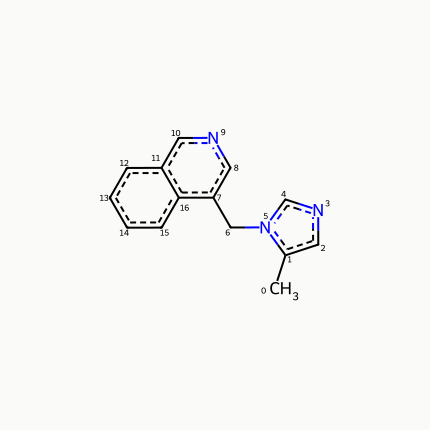 Cc1cncn1Cc1cncc2ccccc12